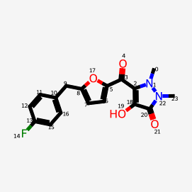 Cn1c(C(=O)c2ccc(Cc3ccc(F)cc3)o2)c(O)c(=O)n1C